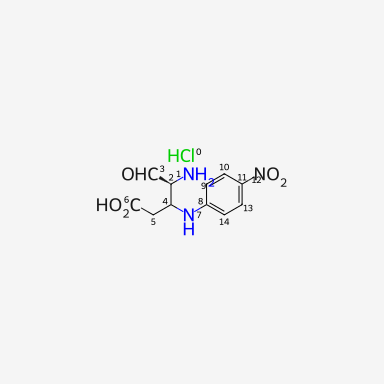 Cl.N[C@H](C=O)C(CC(=O)O)Nc1ccc([N+](=O)[O-])cc1